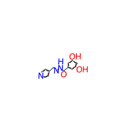 O=C(NN=Cc1ccncc1)c1cc(O)cc(O)c1